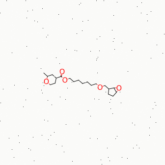 CC1CC(C(=O)OCCCCCCCOCC2CCC3OC23)CCO1